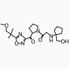 COCC(C)(C)c1nc(C(=O)C2CCCN2C(=O)CNC2(CO)CCCC2)no1